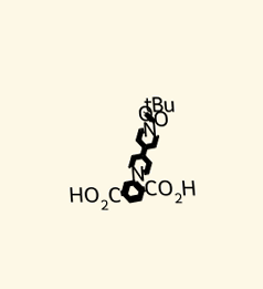 CC(C)(C)OC(=O)N1CCC(C2CCN(c3cc(C(=O)O)ccc3C(=O)O)CC2)CC1